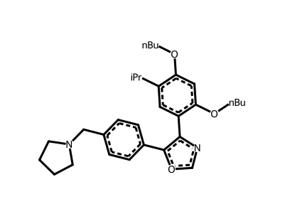 CCCCOc1cc(OCCCC)c(C(C)C)cc1-c1ncoc1-c1ccc(CN2CCCC2)cc1